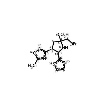 Cc1nc([C@H]2C[C@@](CC(C)C)(C(=O)O)N[C@H]2c2nccs2)no1